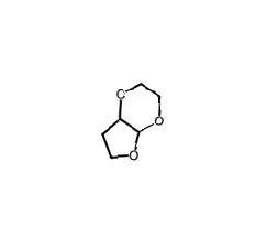 C1COC2OCCC2O1